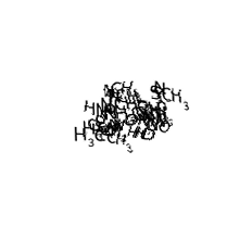 Cc1ncsc1-c1ccc(CNC(=O)[C@@H]2C[C@@H](O)CN2C(=O)C(NC(=O)COCCn2cc(CC(C)(C)CC(C)(C)CS(=O)(=O)c3ccc(Nc4nccc(-c5cnc(C)n5C(C)C)n4)cc3)nn2)C(C)(C)C)cc1